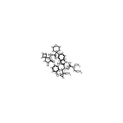 CCN(C)C(=O)N[C@H](c1nc2ccc(C3(C(=O)N[C@H]4C(=O)NCC45CCC5)CCOCC3)cc2[nH]1)[C@H](c1ccccc1Cl)C1(C)CC1